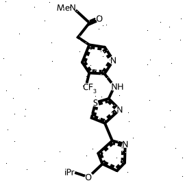 CNC(=O)Cc1cnc(Nc2nc(-c3cc(OC(C)C)ccn3)cs2)c(C(F)(F)F)c1